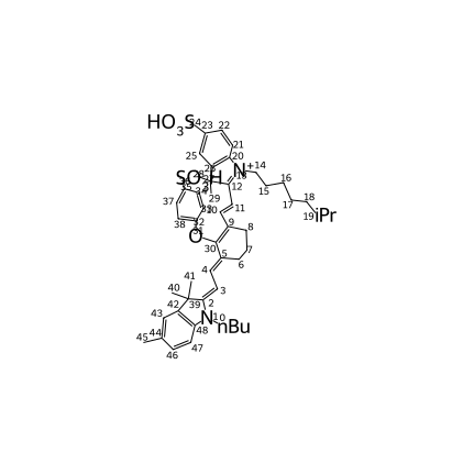 CCCCN1/C(=C/C=C2\CCCC(/C=C/C3=[N+](CCCCCC(C)C)c4ccc(S(=O)(=O)O)cc4C3(C)C)=C2Oc2ccc(S(=O)(=O)O)cc2)C(C)(C)c2cc(C)ccc21